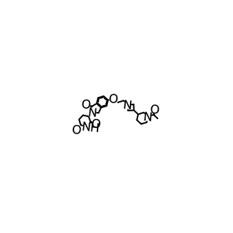 CC(=O)N1CCCC(C2CN(CCOc3ccc4c(c3)CN(C3CCC(=O)NC3=O)C4=O)C2)C1